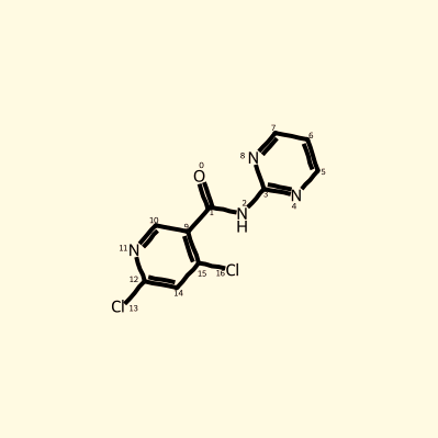 O=C(Nc1ncccn1)c1cnc(Cl)cc1Cl